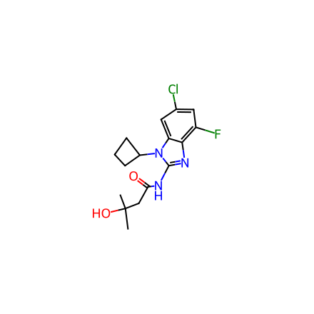 CC(C)(O)CC(=O)Nc1nc2c(F)cc(Cl)cc2n1C1CCC1